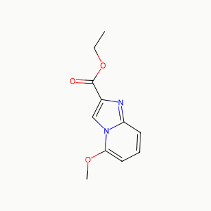 CCOC(=O)c1cn2c(OC)cccc2n1